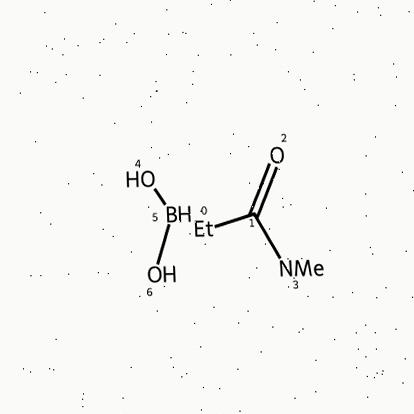 CCC(=O)NC.OBO